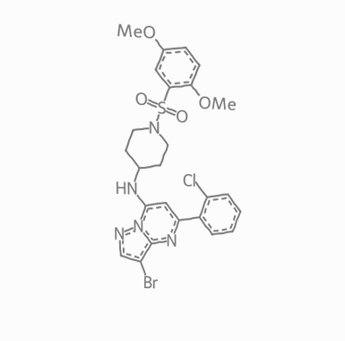 COc1ccc(OC)c(S(=O)(=O)N2CCC(Nc3cc(-c4ccccc4Cl)nc4c(Br)cnn34)CC2)c1